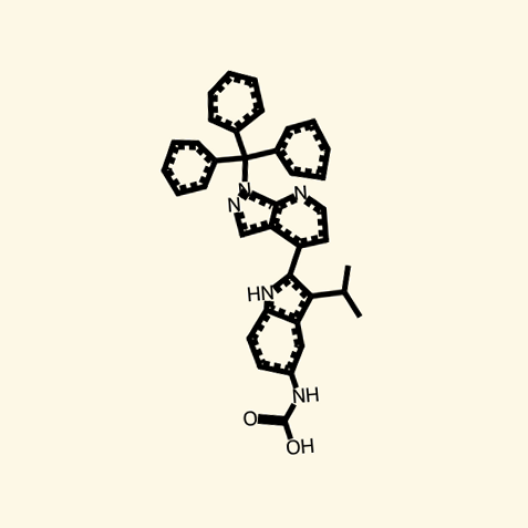 CC(C)c1c(-c2ccnc3c2cnn3C(c2ccccc2)(c2ccccc2)c2ccccc2)[nH]c2ccc(NC(=O)O)cc12